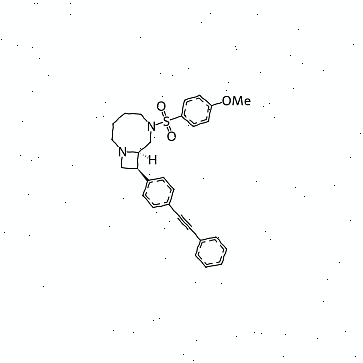 COc1ccc(S(=O)(=O)N2CCCCN3C[C@H](c4ccc(C#Cc5ccccc5)cc4)[C@@H]3C2)cc1